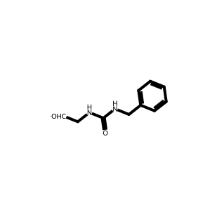 O=[C]CNC(=O)NCc1ccccc1